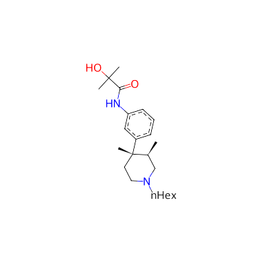 CCCCCCN1CC[C@](C)(c2cccc(NC(=O)C(C)(C)O)c2)[C@@H](C)C1